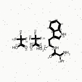 CC(C)[C@H](N)C(=O)N[C@@H](Cc1c[nH]c2ccccc12)C(=O)O.O=C(O)C(F)(F)F.O=C(O)C(F)(F)F